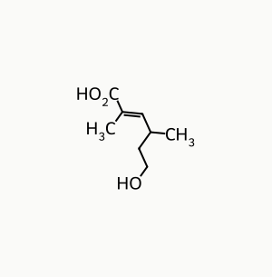 CC(=CC(C)CCO)C(=O)O